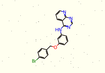 Brc1ccc(COc2cccc(Nc3ncnc4ncccc34)c2)cc1